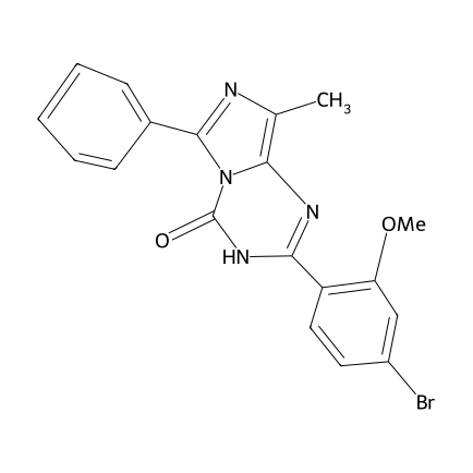 COc1cc(Br)ccc1-c1nc2c(C)nc(-c3ccccc3)n2c(=O)[nH]1